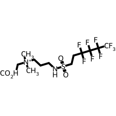 C[N+](C)(CCCNS(=O)(=O)CCC(F)(F)C(F)(F)C(F)(F)C(F)(F)F)CC(=O)O